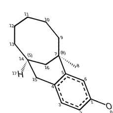 COc1ccc2c(c1)[C@]1(C)CCCCC[C@H](C2)C1